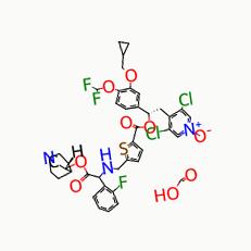 O=C(O[C@@H](Cc1c(Cl)c[n+]([O-])cc1Cl)c1ccc(OC(F)F)c(OCC2CC2)c1)c1ccc(CNC(C(=O)O[C@H]2CN3CCC2CC3)c2ccccc2F)s1.O=CO